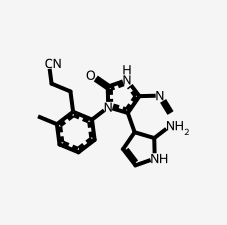 C=Nc1[nH]c(=O)n(-c2cccc(C)c2CCC#N)c1C1C=CNC1N